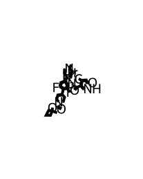 C[C@H]1CN(c2cc(F)c(C3=CCN(C(=O)OC4(C)CCC4)CC3)c(F)c2NC(=O)c2c[nH]c(=O)cc2C(F)(F)F)CCN1C